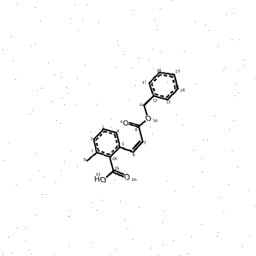 Cc1cccc(/C=C\C(=O)OCc2ccccc2)c1C(=O)O